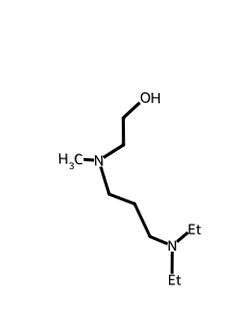 CCN(CC)CCCN(C)CCO